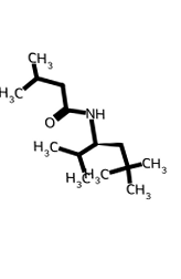 CC(C)CC(=O)N[C@@H](CC(C)(C)C)C(C)C